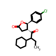 CCC(C(=O)[C@@H]1CC(=O)O[C@H]1c1ccc(Cl)cc1)C1CCCCC1